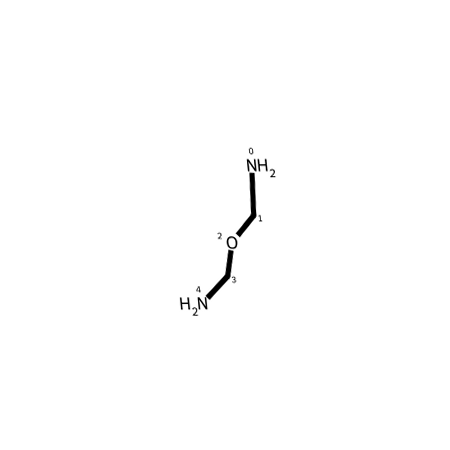 NCOCN